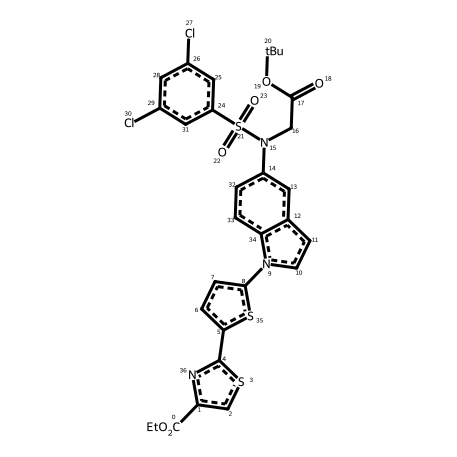 CCOC(=O)c1csc(-c2ccc(-n3ccc4cc(N(CC(=O)OC(C)(C)C)S(=O)(=O)c5cc(Cl)cc(Cl)c5)ccc43)s2)n1